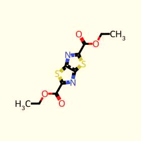 CCOC(=O)c1nc2sc(C(=O)OCC)nc2s1